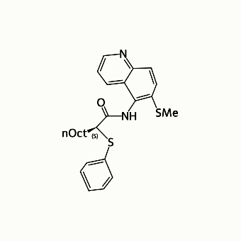 CCCCCCCC[C@H](Sc1ccccc1)C(=O)Nc1c(SC)ccc2ncccc12